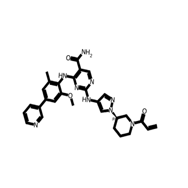 C=CC(=O)N1CCC[C@@H](n2cc(Nc3ncc(C(N)=O)c(Nc4c(C)cc(-c5cccnc5)cc4OC)n3)cn2)C1